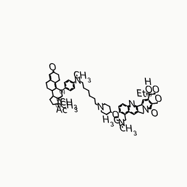 CC[C@@]1(O)C(=O)OCc2c1cc1n(c2=O)Cc2cc3c(CN(C)C)c(OC4CCN(CCCCCCN(C)c5ccc([C@H]6C[C@@]7(C)C(CC[C@]7(C)C(C)=O)C7CCC8=CC(=O)CCC8=C76)cc5)CC4)ccc3nc2-1